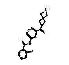 CN1CC2(CC(C(=O)c3cccc(NC(=O)c4ccccc4F)n3)C2)C1